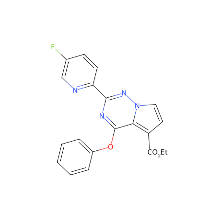 CCOC(=O)c1ccn2nc(-c3ccc(F)cn3)nc(Oc3ccccc3)c12